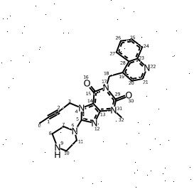 CC#CCn1c(N2CCNCC2)nc2c1c(=O)n(Cc1ccnc3ccccc13)c(=O)n2C